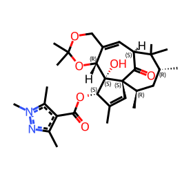 CC1=C[C@]23C(=O)[C@@H](C=C4COC(C)(C)O[C@H]4[C@]2(O)[C@H]1OC(=O)c1c(C)nn(C)c1C)C(C)(C)[C@H](C)C[C@H]3C